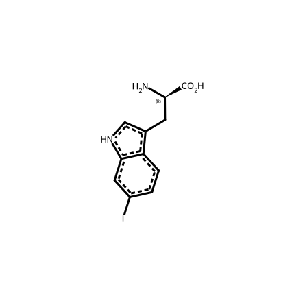 N[C@H](Cc1c[nH]c2cc(I)ccc12)C(=O)O